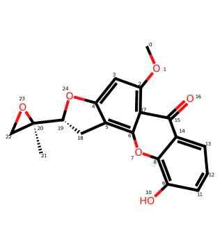 COc1cc2c(c3oc4c(O)cccc4c(=O)c13)C[C@H]([C@@]1(C)CO1)O2